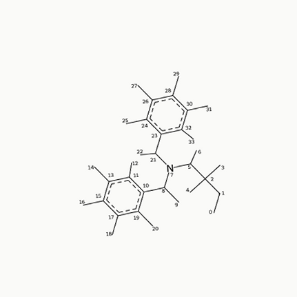 CCC(C)(C)C(C)N(C(C)c1c(C)c(C)c(C)c(C)c1C)C(C)c1c(C)c(C)c(C)c(C)c1C